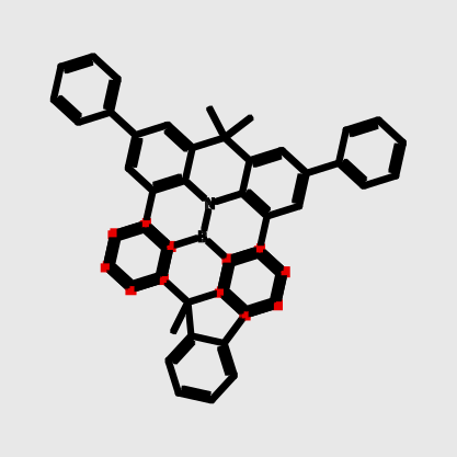 CC1(C)c2cc(-c3ccccc3)cc(-c3ccccc3)c2N(B2c3ccccc3C3(C)c4ccccc4-c4cccc2c43)c2c(-c3ccccc3)cc(-c3ccccc3)cc21